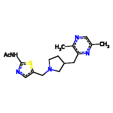 CC(=O)Nc1ncc(CN2CCC(Cc3nc(C)cnc3C)C2)s1